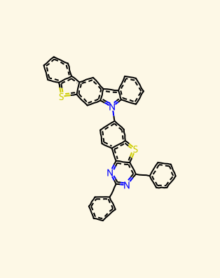 c1ccc(-c2nc(-c3ccccc3)c3sc4cc(-n5c6ccccc6c6cc7c(cc65)sc5ccccc57)ccc4c3n2)cc1